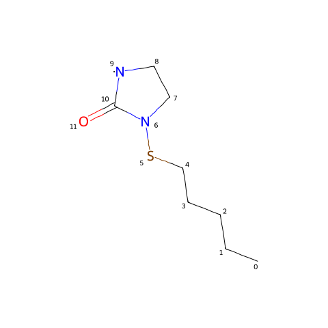 CCCCCSN1CC[N]C1=O